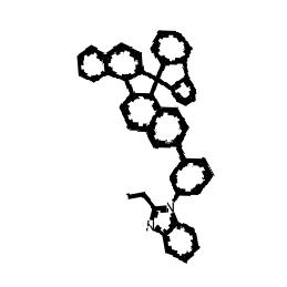 CCc1nc2ccccc2n1-c1cccc(-c2ccc3c4c(ccc3c2)-c2c(ccc3ccccc23)C42c3ccccc3-c3ccccc32)c1